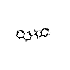 c1ccc2nc(-c3nc4cnccc4[nH]3)cnc2c1